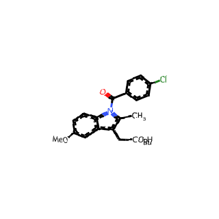 COc1ccc2c(c1)c(CC(=O)O)c(C)n2C(=O)c1ccc(Cl)cc1.[Ru]